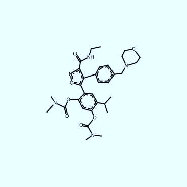 CCNC(=O)c1noc(-c2cc(C(C)C)c(OC(=O)N(C)C)cc2OC(=O)N(C)C)c1-c1ccc(CN2CCOCC2)cc1